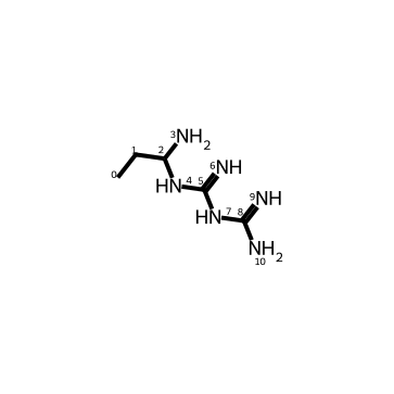 CCC(N)NC(=N)NC(=N)N